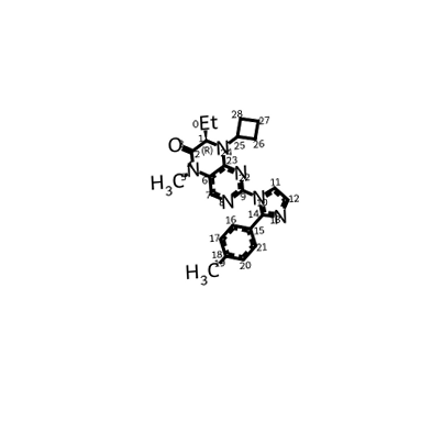 CC[C@@H]1C(=O)N(C)c2cnc(-n3ccnc3-c3ccc(C)cc3)nc2N1C1CCC1